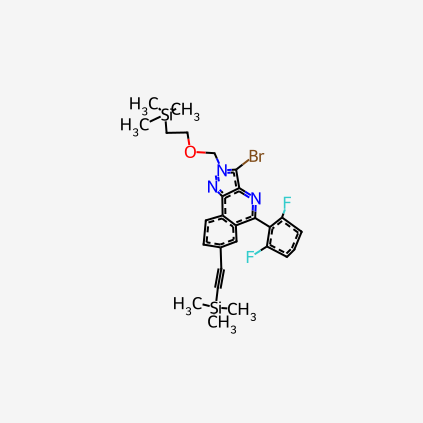 C[Si](C)(C)C#Cc1ccc2c(c1)c(-c1c(F)cccc1F)nc1c(Br)n(COCC[Si](C)(C)C)nc12